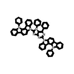 C1=CC(n2c3ccccc3c3ccc4c(c5ccccc5n4-c4nc5nc(-n6c7ccccc7c7c6ccc6c8ccccc8n(-c8ccccc8)c67)nc(-c6ccccc6)c5n4-c4ccccc4)c32)=CCC1